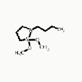 CCCCN1CCC[Si]1(OC)OC